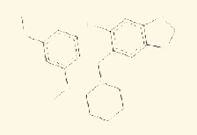 COc1ccc([C@H](c2cc3c(cc2O)OCO3)N2CCCCC2)c(OC)c1